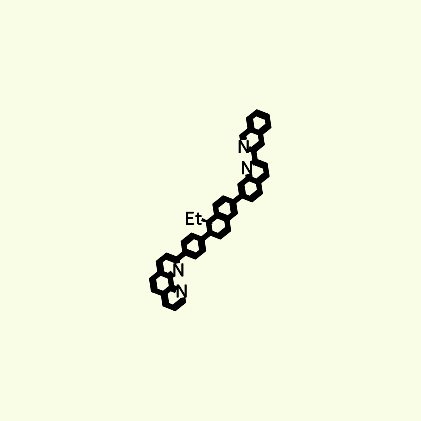 CC[C@H]1c2ccc(-c3ccc4ccc(-c5cc6ccccc6cn5)nc4c3)cc2C=CC1c1ccc(-c2ccc3ccc4cccnc4c3n2)cc1